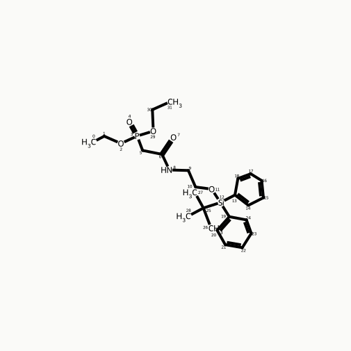 CCOP(=O)(CC(=O)NCCO[Si](c1ccccc1)(c1ccccc1)C(C)(C)C)OCC